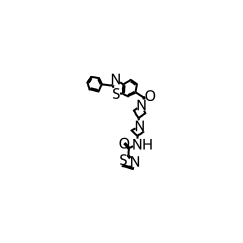 O=C(NC1CN(C2CN(C(=O)c3ccc4nc(-c5ccccc5)sc4c3)C2)C1)c1nccs1